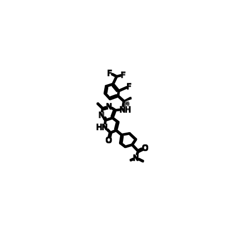 Cc1nc(N[C@H](C)c2cccc(C(F)F)c2F)c2cc(C3=CCC(C(=O)N(C)C)CC3)c(=O)[nH]c2n1